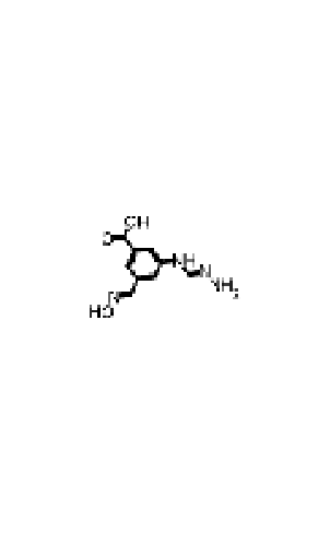 NN=CNc1cc(C=NO)cc(C(=O)O)c1